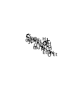 CCNC(=O)C(=O)C(CC)NC(=O)[C@@H]1[C@@H]2[C@H](CN1C(=O)[C@@H](NC(=O)N[C@H](CN(C)S(=O)(=O)c1cccs1)[C@@H](C)CC)C(C)(C)C)C2(C)C